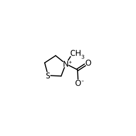 C[N+]1(C(=O)[O-])CCSC1